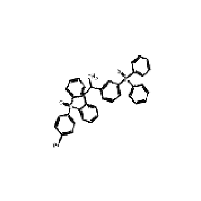 CC(C)c1ccc(P(=S)(c2ccccc2)c2ccccc2CC(C)c2cccc(P(=S)(c3ccccc3)c3ccccc3)c2)cc1